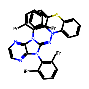 CC(C)c1cccc(C(C)C)c1-n1c(=NN2c3ccccc3Sc3ccccc32)n(-c2c(C(C)C)cccc2C(C)C)c2nccnc21